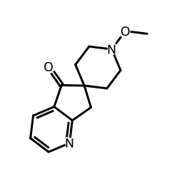 CON1CCC2(CC1)Cc1ncccc1C2=O